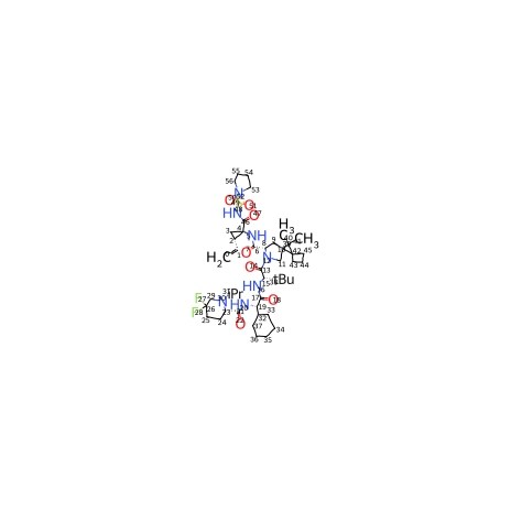 C=C[C@@H]1C[C@]1(NC(=O)[C@@H]1C[C@@]2(CN1C(=O)[C@@H](NC(=O)[C@@H](NC(=O)[C@@H]1CCC(F)(F)CN1C(C)C)C1CCCCC1)C(C)(C)C)C(C)(C)C21CCC1)C(=O)NS(=O)(=O)N1CCCC1